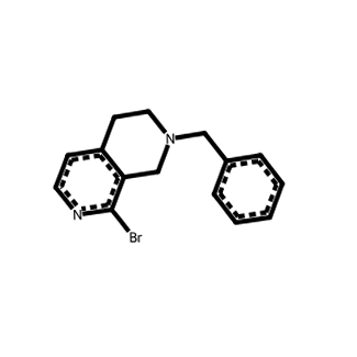 Brc1nccc2c1CN(Cc1ccccc1)CC2